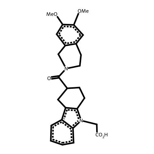 COc1cc2c(cc1OC)CN(C(=O)C1CCc3c(c4ccccc4n3CC(=O)O)C1)CC2